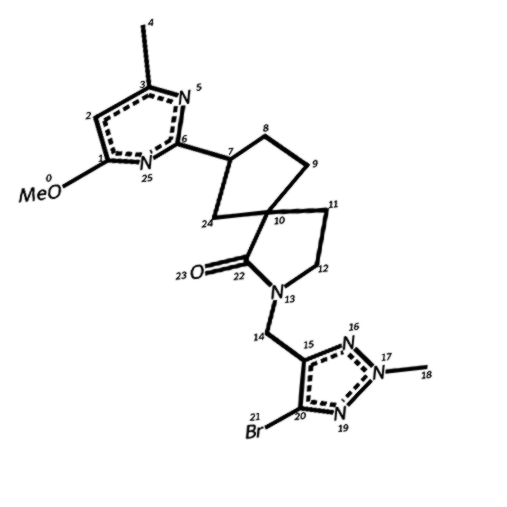 COc1cc(C)nc(C2CCC3(CCN(Cc4nn(C)nc4Br)C3=O)C2)n1